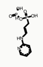 O=[PH](O)OP(=O)(O)CC=CNc1ccccn1